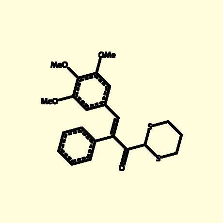 COc1cc(/C=C(/C(=O)C2SCCCS2)c2ccccc2)cc(OC)c1OC